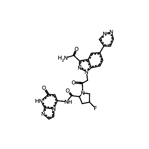 NC(=O)c1nn(CC(=O)N2CC(F)CC2C(=O)Nc2cc(=O)[nH]c3nccn23)c2ccc(-c3ccnnc3)cc12